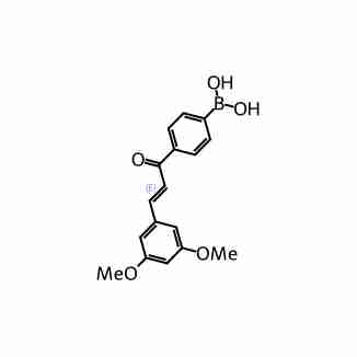 COc1cc(/C=C/C(=O)c2ccc(B(O)O)cc2)cc(OC)c1